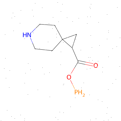 O=C(OP)C1CC12CCNCC2